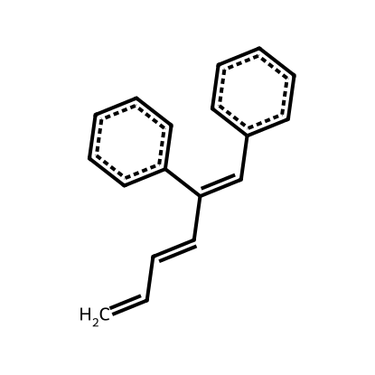 C=CC=CC(=Cc1ccccc1)c1ccccc1